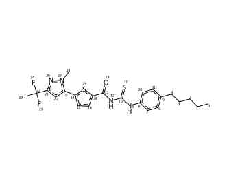 CCCCCc1ccc(NC(=S)NC(=O)c2ccc(-c3cc(C(F)(F)F)nn3C)s2)cc1